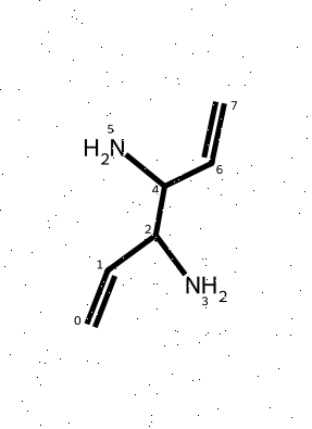 C=C[C](N)C(N)C=C